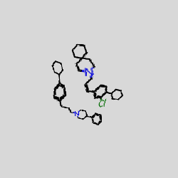 Clc1cc(/C=C\CN2CCC3(CCCCC3)CC2)ccc1C1CCCCC1.c1ccc(C2CCN(CCCc3ccc(C4CCCCC4)cc3)CC2)cc1